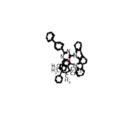 CC1CC(C)(C)c2cccc(-n3c4ccccc4c4ccc5c6ccccc6n(-c6nc(-c7ccc(-c8ccccc8)cc7)nc(-c7ccc(-c8ccccc8)cc7)n6)c5c43)c2C1(C)C